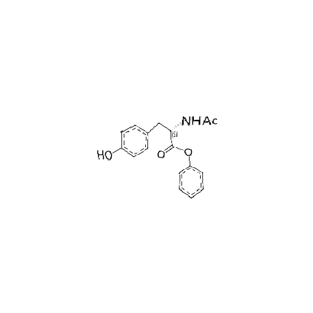 CC(=O)N[C@@H](Cc1ccc(O)cc1)C(=O)Oc1ccccc1